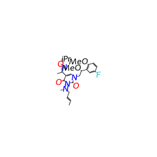 C/C=C/CN(C)n1c(=O)c(/C(C)=N/OC(C)C)cn(C[C@@H](OC)c2cc(F)ccc2OC)c1=O